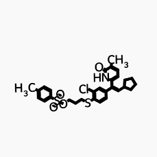 Cc1ccc(S(=O)(=O)OCCCSc2ccc(C(=CC3CCCC3)c3ccc(C)c(=O)[nH]3)cc2Cl)cc1